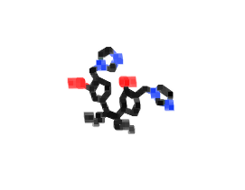 CC(=C(C)c1ccc(Cn2ccnc2)c(O)c1)c1ccc(Cn2ccnc2)c(O)c1